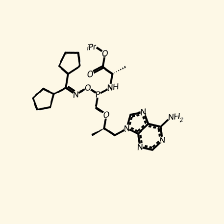 CC(C)OC(=O)[C@H](C)NP(CO[C@H](C)Cn1cnc2c(N)ncnc21)ON=C(C1CCCC1)C1CCCC1